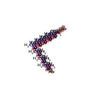 CN(C)C(ON1C(=O)CCC1=O)=[N+](C)C.CN(C)C(ON1C(=O)CCC1=O)=[N+](C)C.CN(C)C(ON1C(=O)CCC1=O)=[N+](C)C.CN(C)C(ON1C(=O)CCC1=O)=[N+](C)C.CN(C)C(ON1C(=O)CCC1=O)=[N+](C)C.CN(C)C(ON1C(=O)CCC1=O)=[N+](C)C.CN(C)C(ON1C(=O)CCC1=O)=[N+](C)C.CN(C)C(ON1C(=O)CCC1=O)=[N+](C)C.[O-]B([O-])F.[O-]B([O-])F.[O-]B([O-])F.[O-]B([O-])F